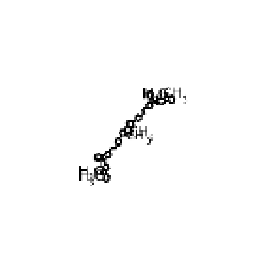 CC1(C)c2cc(-c3ccc(/C=C/c4ccc5c(c4)c4ccccc4n5-c4ccc5c(c4)C(C)(C)c4ccccc4-5)cc3)ccc2-c2ccc(-c3ccc(/C=C/c4ccc5c(c4)c4ccccc4n5-c4ccc5c(c4)C(C)(C)c4ccccc4-5)cc3)cc21